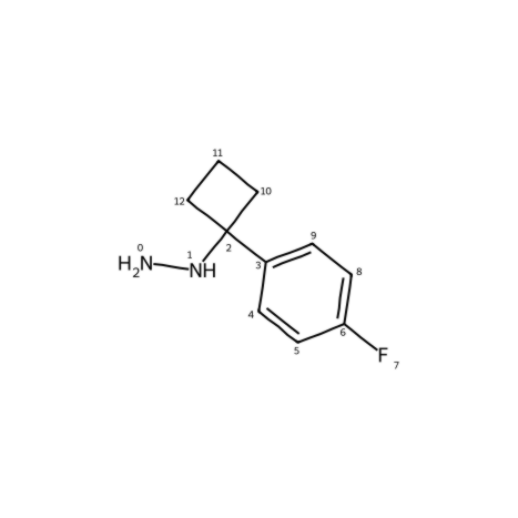 NNC1(c2ccc(F)cc2)CCC1